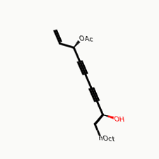 C=C[C@H](C#CC#C[C@@H](O)CCCCCCCCC)OC(C)=O